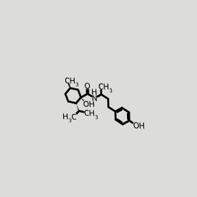 CC(CCc1ccc(O)cc1)NC(=O)[C@]1(O)C[C@H](C)CC[C@H]1C(C)C